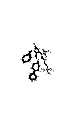 C[Si](C)(C)CCOCN(C1CC(=O)N(Cc2ccccc2)C1COC1CCC(c2ccccc2)CC1)S(C)(=O)=O